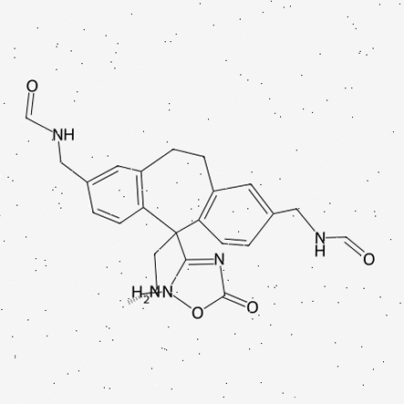 C[C@@H](N)CC1(c2nc(=O)on2C)c2ccc(CNC=O)cc2CCc2cc(CNC=O)ccc21